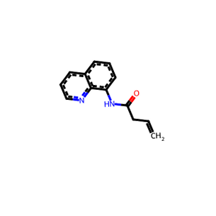 C=CCC(=O)Nc1cccc2cccnc12